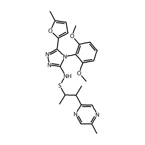 COc1cccc(OC)c1-n1c(NSC(C)C(C)c2cnc(C)cn2)nnc1-c1ccc(C)o1